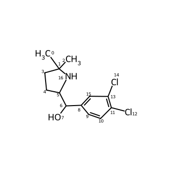 CC1(C)CCC(C(O)c2ccc(Cl)c(Cl)c2)N1